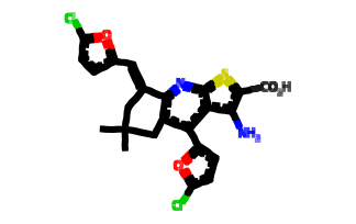 CC1(C)CC(=Cc2ccc(Cl)o2)c2nc3sc(C(=O)O)c(N)c3c(-c3ccc(Cl)o3)c2C1